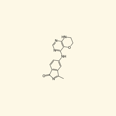 CC1=NC(=O)c2ccc(Nc3ncnc4c3OCCN4)cc21